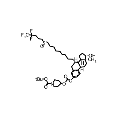 CC(C)(C)OC(=O)N1CCC(OC(=O)Oc2ccc3c(c2)C[C@@H](CCCCCCCCC[S+]([O-])CCCC(F)(F)C(F)(F)F)[C@@H]2[C@@H]3CC[C@]3(C)[C@@H](O)CC[C@@H]23)CC1